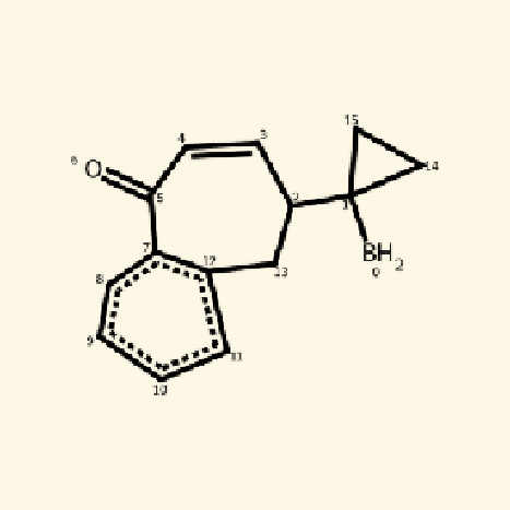 BC1(C2C=CC(=O)c3ccccc3C2)CC1